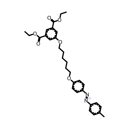 CCOC(=O)c1cc(OCCCCCCOc2ccc(/N=N/c3ccc(C)cc3)cc2)cc(C(=O)OCC)c1